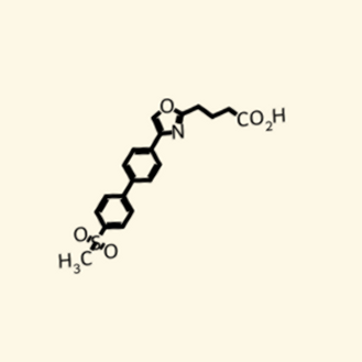 CS(=O)(=O)c1ccc(-c2ccc(-c3coc(CCCC(=O)O)n3)cc2)cc1